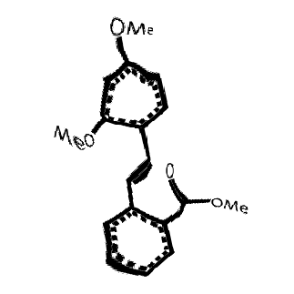 COC(=O)c1ccccc1/C=C/c1ccc(OC)cc1OC